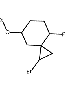 CCOC1CCC(F)C2(C1)CC2CC